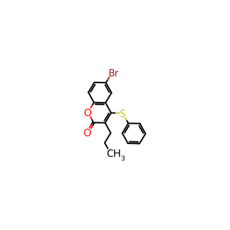 CCCc1c(Sc2ccccc2)c2cc(Br)ccc2oc1=O